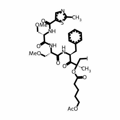 COC[C@H](NC(=O)c1cnc(C)s1)C(=O)N[C@@H](COC)C(=O)N[C@@H](Cc1ccccc1)C(=O)[C@@](C)(CI)OC(=O)CCCCOC(C)=O